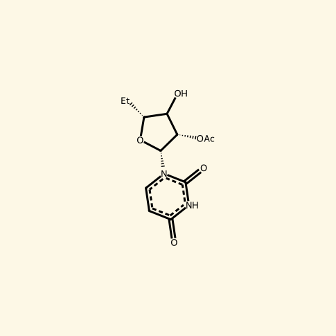 CC[C@H]1O[C@@H](n2ccc(=O)[nH]c2=O)[C@@H](OC(C)=O)C1O